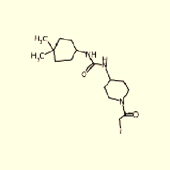 CC1(C)CCC(NC(=O)NC2CCN(C(=O)CI)CC2)CC1